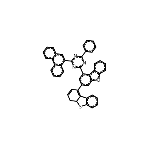 C1=CC(c2cc(-c3nc(-c4ccccc4)nc(-c4cc5ccccc5c5ccccc45)n3)c3c(c2)oc2ccccc23)=C2c3ccccc3SC2C1